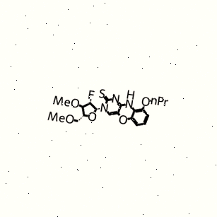 CCCOc1cccc2c1Nc1nc(=S)n([C@@H]3O[C@H](COC)C(OC)[C@@H]3F)cc1O2